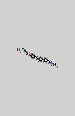 C/C=C/CC1CCC(C2CCC(CCc3ccc(COCCCCC)cc3)CC2)CC1